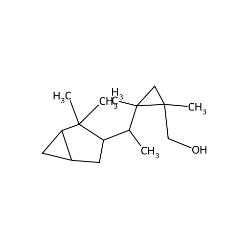 CC(C1CC2CC2C1(C)C)C1(C)CC1(C)CO